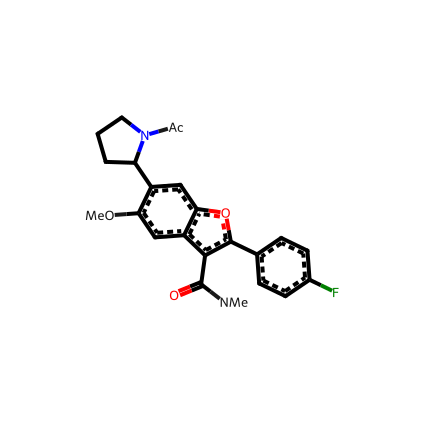 CNC(=O)c1c(-c2ccc(F)cc2)oc2cc(C3CCCN3C(C)=O)c(OC)cc12